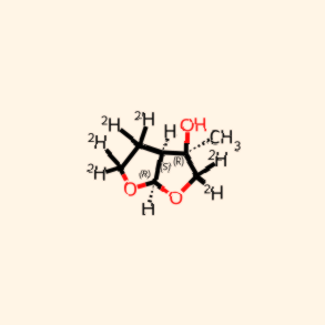 [2H]C1([2H])O[C@@H]2OC([2H])([2H])[C@](C)(O)[C@@H]2C1([2H])[2H]